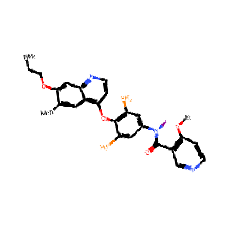 CCOc1ccncc1C(=O)N(I)c1cc(P)c(Oc2ccnc3cc(OCCNC)c(OC)cc23)c(P)c1